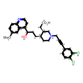 COc1ccc2nccc(C(O)CC[C@@H]3CCN(CC#Cc4ccc(Cl)c(Cl)c4)C[C@@H]3CC(=O)O)c2c1